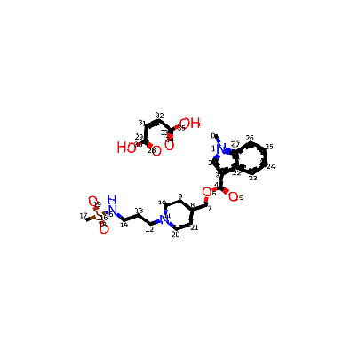 Cn1cc(C(=O)OCC2CCN(CCCNS(C)(=O)=O)CC2)c2ccccc21.O=C(O)/C=C\C(=O)O